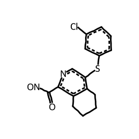 O=NC(=O)c1ncc(Sc2cccc(Cl)c2)c2c1CCCC2